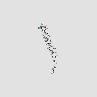 CCCCCCCCC1CCC(C2CCC(c3ccc(C4CCC(c5cc(F)c(F)c(F)c5)CC4)c(F)c3)CC2)CC1